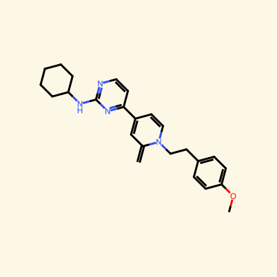 C=C1C=C(c2ccnc(NC3CCCCC3)n2)C=CN1CCc1ccc(OC)cc1